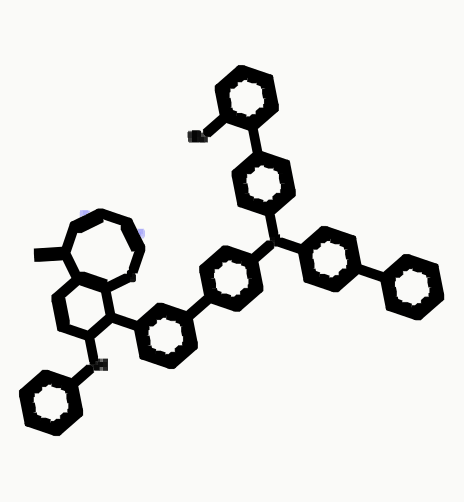 C=C1/C=C\C=C/SC2=C1C=CC(Nc1ccccc1)C2c1cccc(-c2ccc(N(c3ccc(-c4ccccc4)cc3)c3ccc(-c4ccccc4C(C)(C)C)cc3)cc2)c1